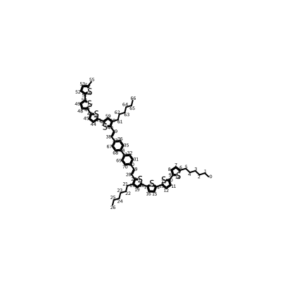 CCCCCCc1ccc(-c2ccc(-c3ccc(-c4cc(CCCCCC)c(/C=C/c5ccc(-c6ccc(/C=C/c7sc(-c8ccc(-c9ccc(-c%10ccc(C)s%10)s9)s8)cc7CCCCCC)cc6)cc5)s4)s3)s2)s1